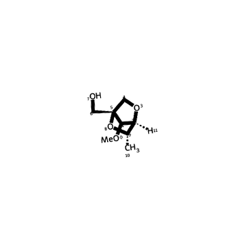 COC1[C@H]2OC[C@@]1(CO)O[C@H]2C